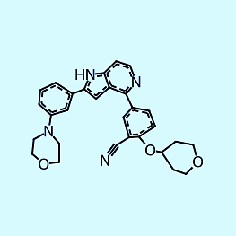 N#Cc1cc(-c2nccc3[nH]c(-c4cccc(N5CCOCC5)c4)cc23)ccc1OC1CCOCC1